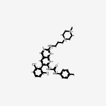 Cc1ccc(NC(=O)Nc2nc3nc(NCCCN4CCN(C)CC4)ncc3cc2-c2c(Cl)cccc2Cl)cc1